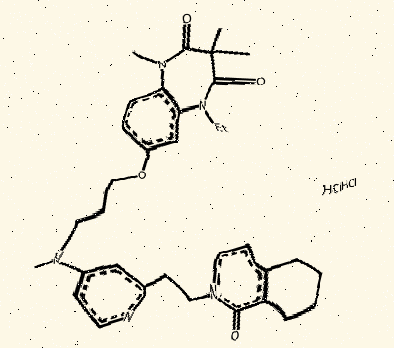 CCN1C(=O)C(C)(C)C(=O)N(C)c2ccc(OCCCN(C)c3ccnc(CCn4ccc5c(c4=O)CCCC5)c3)cc21.Cl.Cl